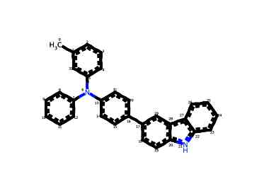 Cc1cccc(N(c2ccccc2)c2ccc(-c3ccc4[nH]c5ccccc5c4c3)cc2)c1